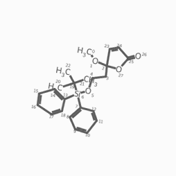 COC1(CCO[Si](c2ccccc2)(c2ccccc2)C(C)(C)C)C=CC(=O)O1